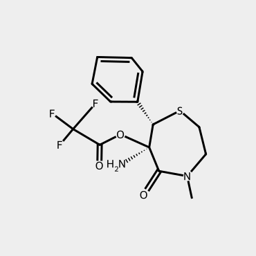 CN1CCS[C@@H](c2ccccc2)[C@](N)(OC(=O)C(F)(F)F)C1=O